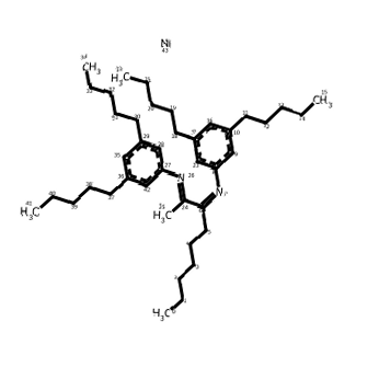 CCCCCCC(=Nc1cc(CCCCC)cc(CCCCC)c1)C(C)=Nc1cc(CCCCC)cc(CCCCC)c1.[Ni]